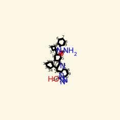 NC(=O)N(c1ccccc1)C1(c2ccc(-c3nc4ccc5nnc(O)n5c4cc3-c3ccccc3)cc2)CCC1